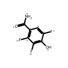 NC(=O)c1cc(F)c(O)c(F)c1F